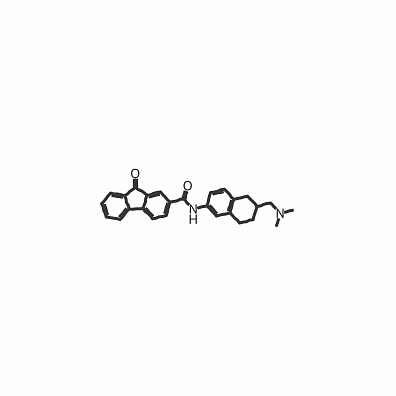 CN(C)CC1CCc2cc(NC(=O)c3ccc4c(c3)C(=O)c3ccccc3-4)ccc2C1